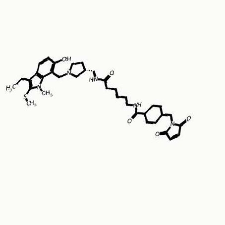 CCc1c(SC)n(C)c2c(CN3CC[C@H](CNC(=O)CCCCCNC(=O)C4CCC(CN5C(=O)C=CC5=O)CC4)C3)c(O)ccc12